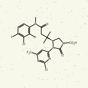 CN(C(=O)CC(C)(C)[C@H]1CN(C(=O)O)C(=O)N1c1cc(C(F)(F)F)nc(Cl)n1)c1ccc(F)c(Cl)c1F